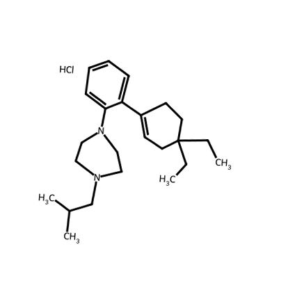 CCC1(CC)CC=C(c2ccccc2N2CCN(CC(C)C)CC2)CC1.Cl